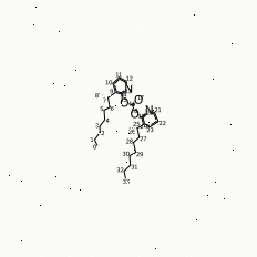 CCCCCCC[C@H](C)c1cccnc1OC(=O)Oc1ncccc1[C@@H](C)CCCCCCC